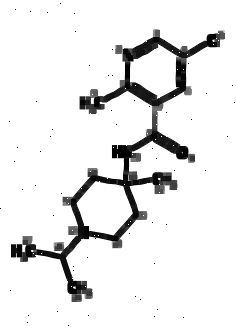 Cc1ncc(Cl)cc1C(=O)NC1(C)CCN(C(C)C)CC1